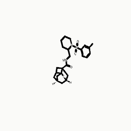 Cc1cccc(S(=O)(=O)N2CCCCC2CNC(=O)C23CC4C[C@@H]5C[C@@H](C2)CC43C5)c1